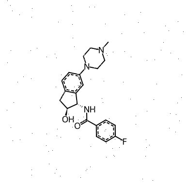 CN1CCN(c2ccc3c(c2)[C@H](NC(=O)c2ccc(F)cc2)[C@@H](O)C3)CC1